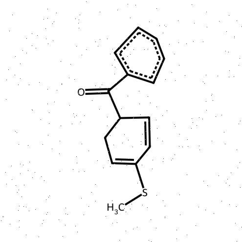 CSC1=CCC(C(=O)c2ccccc2)C=C1